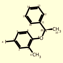 Cc1cc(I)ccc1O[C@H](C)c1ccccc1